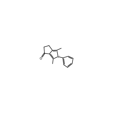 Cc1c2c(c(C)n1-c1ccccc1)C(=O)CC2